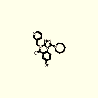 O=c1c2cc(Br)ccc2n2c(N3CCCCCC3)nnc2n1Cc1cccnc1